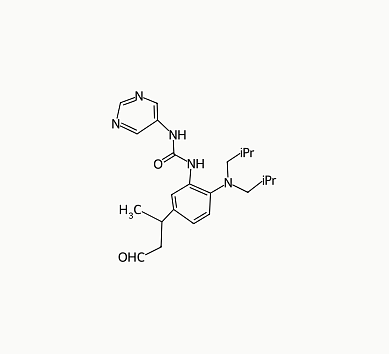 CC(C)CN(CC(C)C)c1ccc(C(C)CC=O)cc1NC(=O)Nc1cncnc1